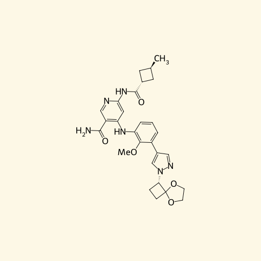 COc1c(Nc2cc(NC(=O)[C@H]3C[C@H](C)C3)ncc2C(N)=O)cccc1-c1cnn([C@H]2CCC23OCCO3)c1